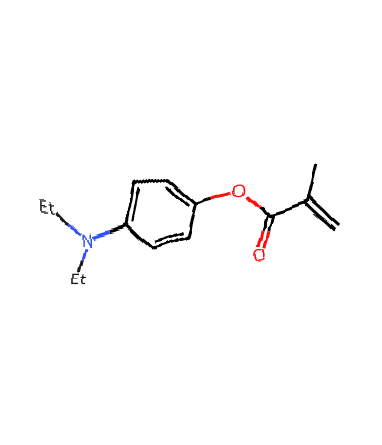 C=C(C)C(=O)Oc1ccc(N(CC)CC)cc1